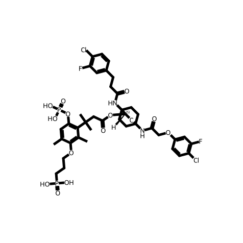 Cc1cc(OP(=O)(O)O)c(C(C)(C)CC(=O)O[C@H]2CC3(NC(=O)COc4ccc(Cl)c(F)c4)CCC2(NC(=O)CCc2ccc(Cl)c(F)c2)CC3)c(C)c1OCCCP(=O)(O)O